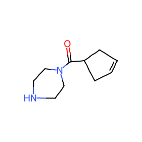 O=C(C1CC=CC1)N1CCNCC1